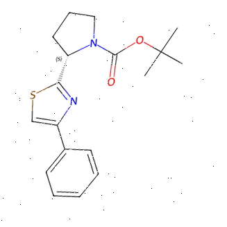 CC(C)(C)OC(=O)N1CCC[C@H]1c1nc(-c2ccccc2)cs1